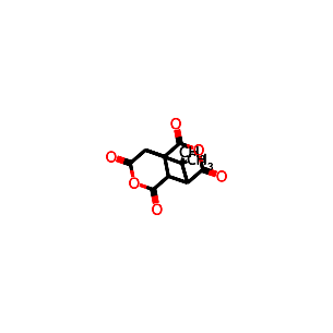 CC1(C)C2C(=O)OC(=O)C3C2C(=O)OC(=O)C31